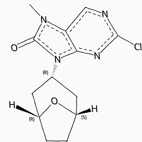 Cn1c(=O)n([C@H]2C[C@H]3CC[C@@H](C2)O3)c2nc(Cl)ncc21